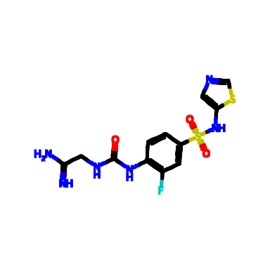 N=C(N)CNC(=O)Nc1ccc(S(=O)(=O)Nc2cncs2)cc1F